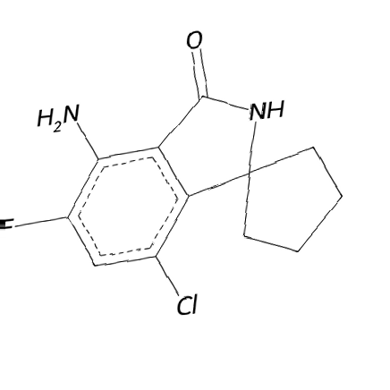 Nc1c(F)cc(Cl)c2c1C(=O)NC21CCCC1